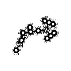 c1ccc(-c2nc3cc4oc5c(-c6ccc(-c7ccc(-c8nc(-c9c%10ccccc%10cc%10ccccc9%10)nc(-c9c%10ccccc%10cc%10ccccc9%10)n8)cc7)c7ccccc67)cccc5c4cc3o2)cc1